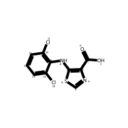 O=C(O)c1ncsc1Nc1c(Cl)cccc1Cl